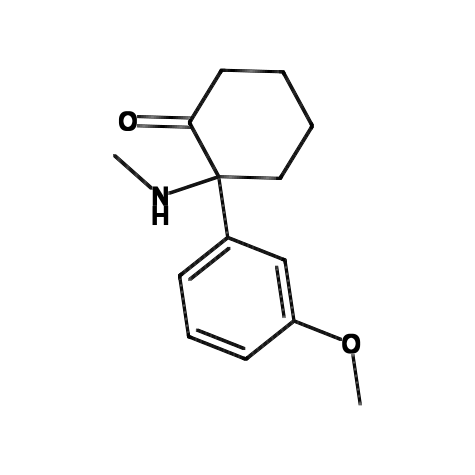 CNC1(c2cccc(OC)c2)CCCCC1=O